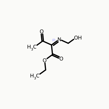 CCOC(=O)/C(=N\CO)C(C)=O